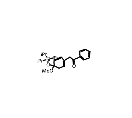 COC1(O[Si](C(C)C)(C(C)C)C(C)C)C=CC(CC(=O)c2ccccc2)=CC1